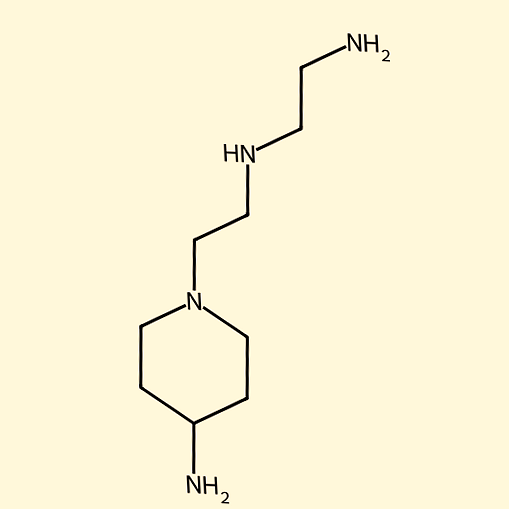 NCCNCCN1CCC(N)CC1